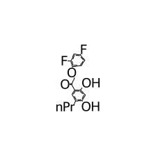 CCCc1cc(C(=O)COc2ccc(F)cc2F)c(O)cc1O